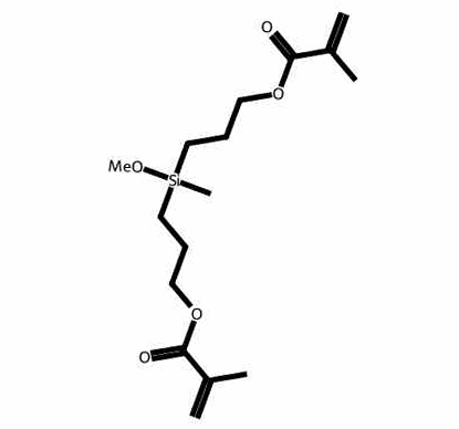 C=C(C)C(=O)OCCC[Si](C)(CCCOC(=O)C(=C)C)OC